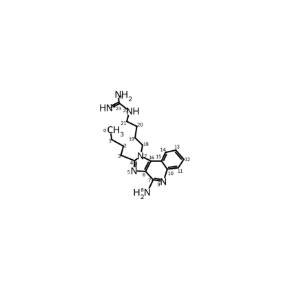 CCCCc1nc2c(N)nc3ccccc3c2n1CCCCNC(=N)N